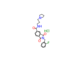 Cl.O=C(NCCCN1CCCC1)c1ccc2c(c1)C(=O)N(Cc1ccccc1F)C2=O